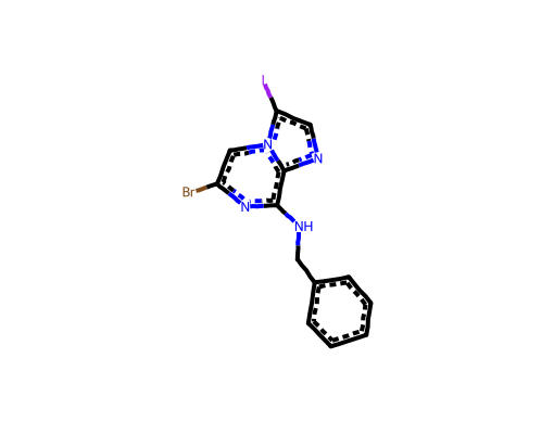 Brc1cn2c(I)cnc2c(NCc2ccccc2)n1